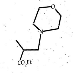 CCOC(=O)C(C)CN1CCOCC1